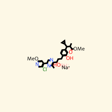 COC(=O)C(C)C(c1ccc(CCC(O)c2ncc(-c3cc(OC)ncc3Cl)nc2C)c(O)c1)C1CC1.[BH4-].[Na+]